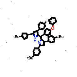 CC(C)(C)c1ccc(C2=CC(c3ccc(C(C)(C)C)cc3)=N/C2=C(/c2ccc(Oc3ccccc3)cc2)c2[nH]c(-c3ccc(C(C)(C)C)cc3)cc2-c2ccc(C(C)(C)C)cc2)cc1